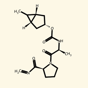 C=NC(=O)[C@@H]1CCCN1C(=O)[C@H](C)NC(=O)O[C@@H]1C[C@@H]2C(C)[C@@H]2C1